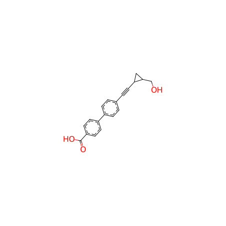 O=C(O)c1ccc(-c2ccc(C#CC3CC3CO)cc2)cc1